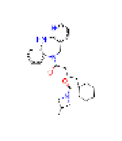 CC1CN(C(=O)C2(CCCC(=O)N3Cc4cccnc4Nc4ccccc43)CCCCC2)C1